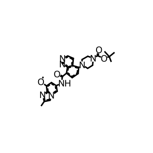 COc1cc(NC(=O)c2ccc(N3CCN(C(=O)OC(C)(C)C)CC3)c3ccnnc23)cn2cc(C)nc12